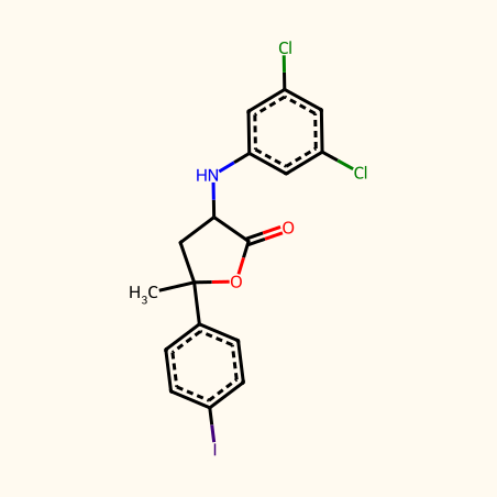 CC1(c2ccc(I)cc2)CC(Nc2cc(Cl)cc(Cl)c2)C(=O)O1